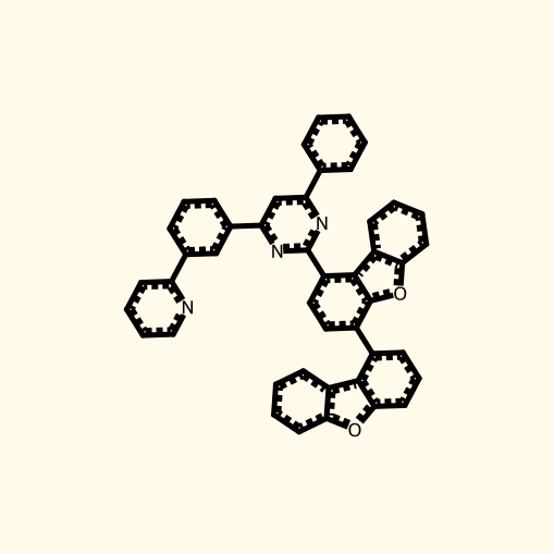 c1ccc(-c2cc(-c3cccc(-c4ccccn4)c3)nc(-c3ccc(-c4cccc5oc6ccccc6c45)c4oc5ccccc5c34)n2)cc1